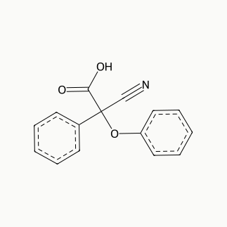 N#CC(Oc1ccccc1)(C(=O)O)c1ccccc1